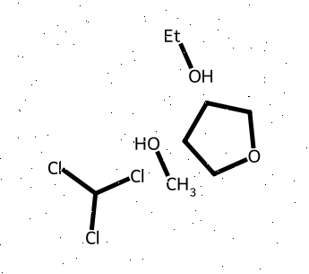 C1CCOC1.CCO.CO.ClC(Cl)Cl